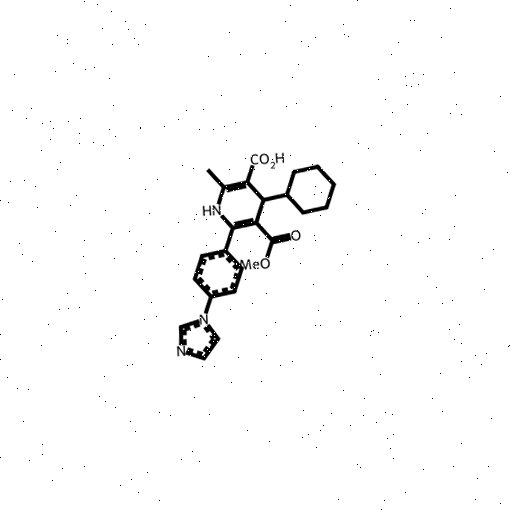 COC(=O)C1=C(c2ccc(-n3ccnc3)cc2)NC(C)=C(C(=O)O)C1C1CCCCC1